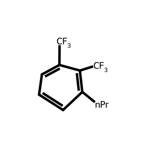 CCCc1cccc(C(F)(F)F)c1C(F)(F)F